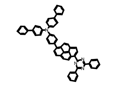 c1ccc(-c2ccc(N(c3ccc(-c4ccccc4)cc3)c3ccc(-c4ccc5ccc6c(-c7nc(-c8ccccc8)nc(-c8ccccc8)n7)ccc7ccc4c5c76)cc3)cc2)cc1